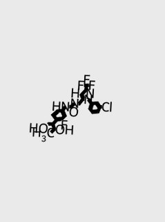 CC(O)C(CO)c1ccc(NC(=O)NCc2cc(C(F)(F)F)nn2-c2cccc(Cl)c2)cc1F